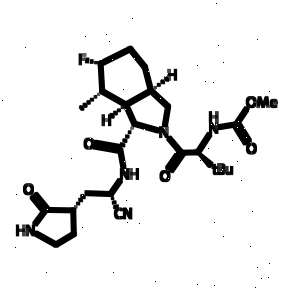 COC(=O)N[C@H](C(=O)N1C[C@@H]2CC[C@@H](F)[C@@H](C)[C@@H]2[C@H]1C(=O)N[C@H](C#N)C[C@@H]1CCNC1=O)C(C)(C)C